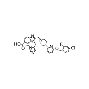 CCn1cncc1Cn1c(CN2CCC(c3cccc(OCc4ccc(Cl)cc4F)n3)CC2)nc2ccc(C(=O)O)cc21